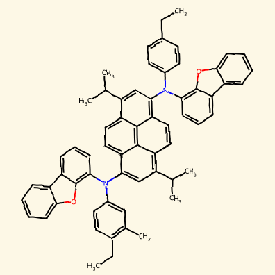 CCc1ccc(N(c2cc(C(C)C)c3ccc4c(N(c5ccc(CC)c(C)c5)c5cccc6c5oc5ccccc56)cc(C(C)C)c5ccc2c3c54)c2cccc3c2oc2ccccc23)cc1